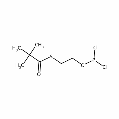 CC(C)(C)C(=O)SCCOP(Cl)Cl